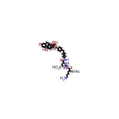 CC(=O)N[C@@H](CCCCN)C(=O)NCC(=O)N[C@@H](CCC(=O)O)C(=O)NC1CC2(CC(Cc3ccc([C@@H]4O[C@@H]5C[C@H]6[C@@H]7CCC8=CC(=O)C=C[C@]8(C)[C@H]7[C@@H](O)C[C@]6(C)[C@]5(C(=O)CO)O4)cc3)C2)C1